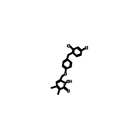 Cc1cc(COc2ccc(Cc3ccc(Cl)cc3Cl)cc2)n(O)c(=O)c1C